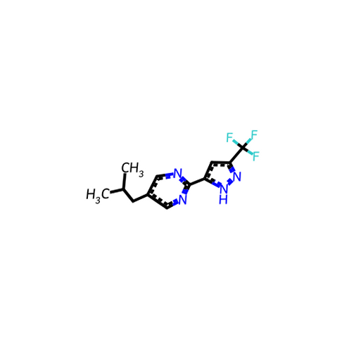 CC(C)Cc1cnc(-c2cc(C(F)(F)F)n[nH]2)nc1